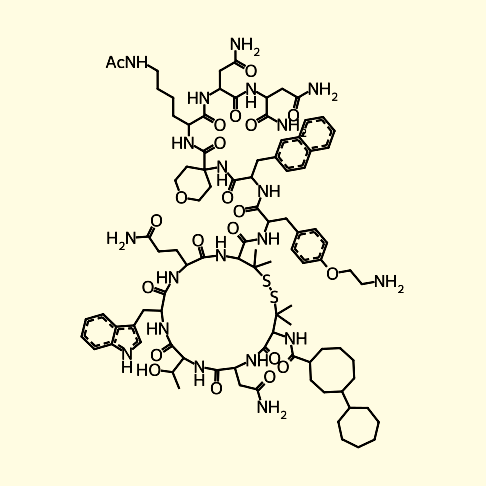 CC(=O)NCCCCC(NC(=O)C1(NC(=O)C(Cc2ccc3ccccc3c2)NC(=O)C(Cc2ccc(OCCN)cc2)NC(=O)C2NC(=O)C(CCC(N)=O)NC(=O)C(Cc3c[nH]c4ccccc34)NC(=O)C(C(C)O)NC(=O)C(CC(N)=O)NC(=O)C(NC(=O)C3CCCCC(C4CCCCCC4)CC3)C(C)(C)SSC2(C)C)CCOCC1)C(=O)NC(CC(N)=O)C(=O)NC(CC(N)=O)C(N)=O